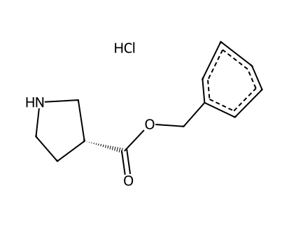 Cl.O=C(OCc1ccccc1)[C@@H]1CCNC1